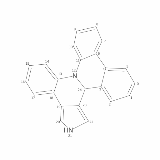 c1ccc2c(c1)-c1ccccc1N1c3ccccc3-c3c[nH]cc3C21